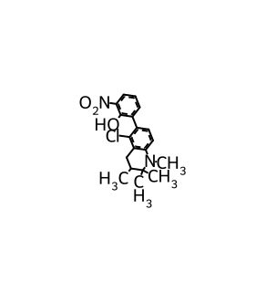 CC1Cc2c(ccc(-c3cccc([N+](=O)[O-])c3O)c2Cl)N(C)C1(C)C